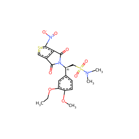 CCOc1cc([C@H](CS(=O)(=O)N(C)C)N2C(=O)c3csc([N+](=O)[O-])c3C2=O)ccc1OC